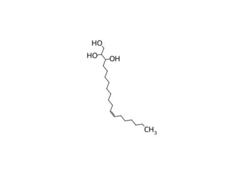 CCCCCC/C=C\CCCCCCCCC(O)C(O)CO